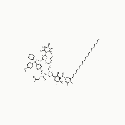 [C-]#[N+]CCOP(OC[C@H]1O[C@@H](n2cc(C)c(=O)n(C(=O)c3cc(C)c(C)c(OCCCCCCCCCCCCCCCCCC)c3)c2=O)C[C@H]1OC(=O)CCC(C)=O)O[C@@H]1C[C@H](n2cc(C)c(=O)[nH]c2=O)O[C@@H]1COC(c1ccccc1)(c1ccc(OC)cc1)c1ccc(OC)cc1